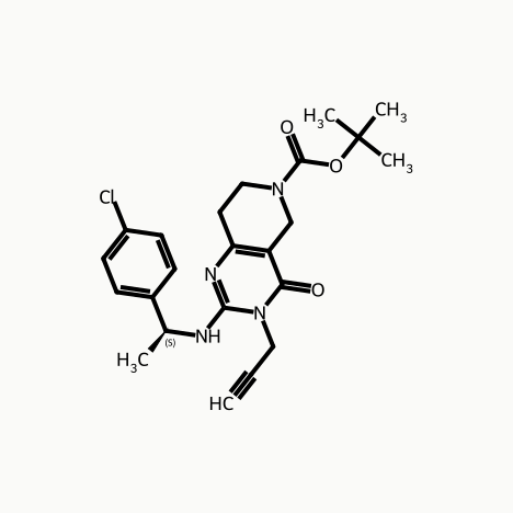 C#CCn1c(N[C@@H](C)c2ccc(Cl)cc2)nc2c(c1=O)CN(C(=O)OC(C)(C)C)CC2